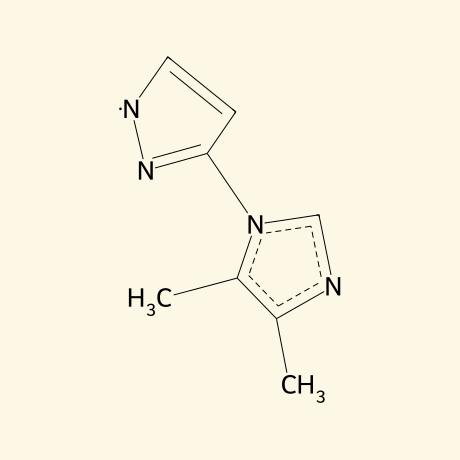 Cc1ncn(C2=N[N]C=C2)c1C